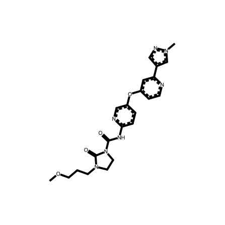 COCCCN1CCN(C(=O)Nc2ccc(Oc3ccnc(-c4cnn(C)c4)c3)cn2)C1=O